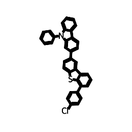 Clc1ccc(-c2cccc3c2sc2ccc(-c4ccc5c6ccccc6n(-c6ccccc6)c5c4)cc23)cc1